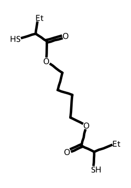 CCC(S)C(=O)OCCCCOC(=O)C(S)CC